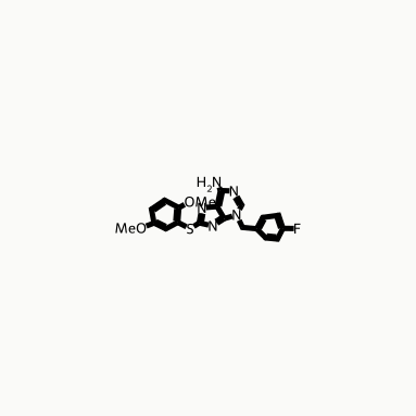 COc1ccc(OC)c(Sc2nc3c(N)ncn(Cc4ccc(F)cc4)c-3n2)c1